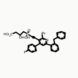 CC(C)c1nc(-c2ccccc2Cc2ccccc2)cc(-c2ccc(F)cc2)c1C#CP(=O)(O)CC(O)CC(=O)O